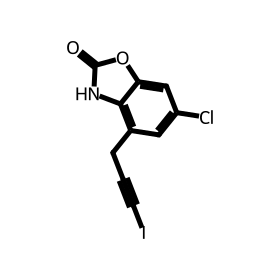 O=c1[nH]c2c(CC#CI)cc(Cl)cc2o1